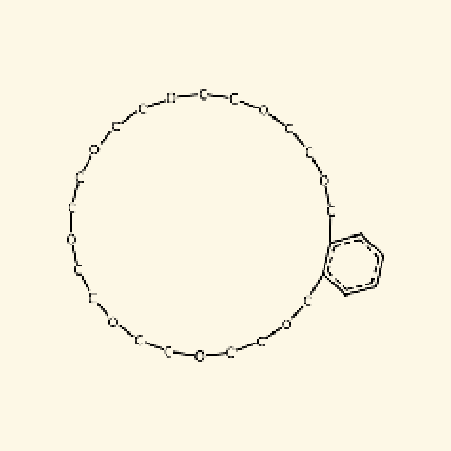 c1ccc2c(c1)COCCOCCOCCOCCOCCOCCOCCOC2